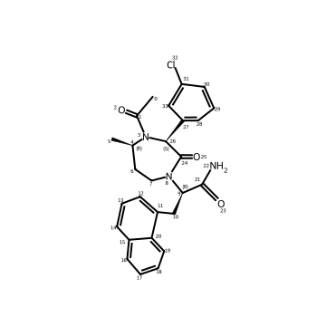 CC(=O)N1[C@H](C)CCN([C@H](Cc2cccc3ccccc23)C(N)=O)C(=O)[C@@H]1c1cccc(Cl)c1